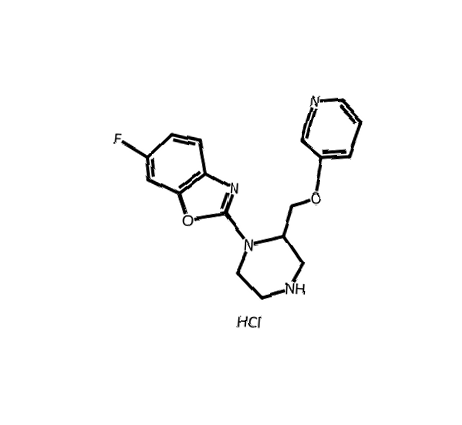 Cl.Fc1ccc2nc(N3CCNCC3COc3cccnc3)oc2c1